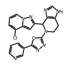 Clc1cccn2nc(C3c4nc[nH]c4CCN3c3nnc(-c4cccnc4)o3)cc12